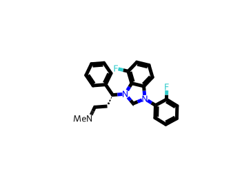 CNCC[C@H](c1ccccc1)N1[CH]N(c2ccccc2F)c2cccc(F)c21